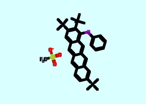 C[Si](C)(C)c1ccc2cc3cc4cc([Si](C)(C)C)c([Si](C)(C)C)c([I+]c5ccccc5)c4cc3cc2c1.O=S(=O)([O-])C(F)(F)F